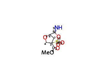 COC(=O)C12COC(C1)C(=N)OS2(=O)=O